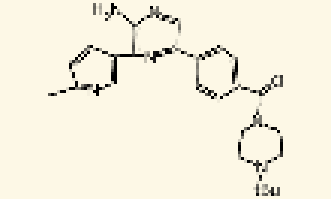 Cc1ccc(-c2nc(-c3ccc(C(=O)N4CCN(C(C)(C)C)CC4)cc3)cnc2N)cn1